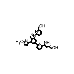 Cn1ccc(-c2cc(-c3cccc(C(N)CCCO)n3)cc3c2cnn3-c2cccc(CO)n2)n1